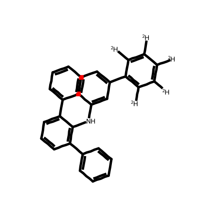 [2H]c1c([2H])c([2H])c(-c2cccc(Nc3c(-c4ccccc4)cccc3-c3ccccc3)c2)c([2H])c1[2H]